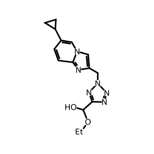 CCOC(O)c1nnn(Cc2cn3cc(C4CC4)ccc3n2)n1